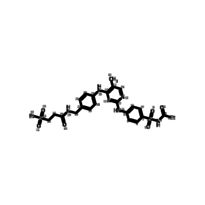 CCC(=O)NS(=O)(=O)c1ccc(Nc2ncc(C)c(Nc3ccc(CNC(=O)CCS(=O)(=O)CC)cc3)n2)cc1